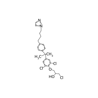 CC(C)(c1ccc(CCCCn2ccnc2)cc1)c1cc(Cl)c(OCC(O)CCl)c(Cl)c1